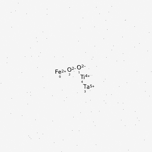 [Fe+2].[O-2].[O-2].[Ta+5].[Ti+4]